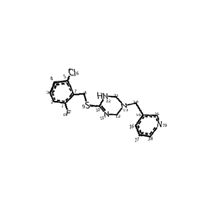 Fc1cccc(Cl)c1CSC1=NCN(Cc2cccnc2)CN1